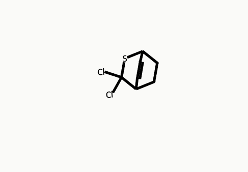 ClC1(Cl)SC2C=CC1CC2